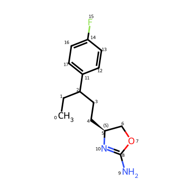 CCC(CC[C@H]1COC(N)=N1)c1ccc(F)cc1